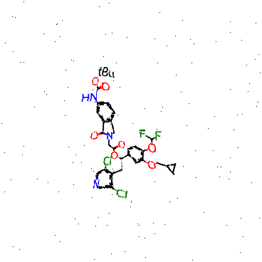 CC(C)(C)OC(=O)Nc1ccc2c(c1)C(=O)N(CC(=O)O[C@@H](Cc1c(Cl)cncc1Cl)c1ccc(OC(F)F)c(OCC3CC3)c1)C2